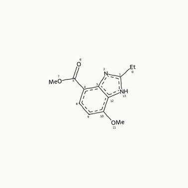 CCc1nc2c(C(=O)OC)ccc(OC)c2[nH]1